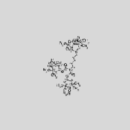 CC(C)(C)c1cc(CCCCCC(C(=O)OC2CC(C)(C)N(O)C(C)(C)C2)C(=O)OC2CC(C)(C)N(O)C(C)(C)C2)cc(C(C)(C)C)c1O